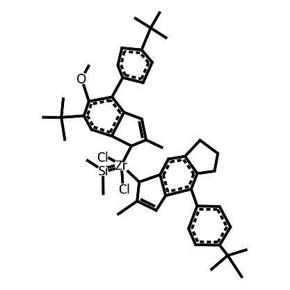 COc1c(C(C)(C)C)cc2c(c1-c1ccc(C(C)(C)C)cc1)C=C(C)[CH]2[Zr]([Cl])([Cl])([CH]1C(C)=Cc2c1cc1c(c2-c2ccc(C(C)(C)C)cc2)CCC1)=[Si](C)C